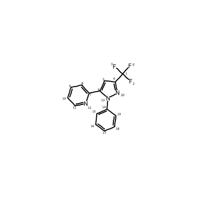 FC(F)(F)c1cc(-c2ccccn2)n(-c2ccccc2)n1